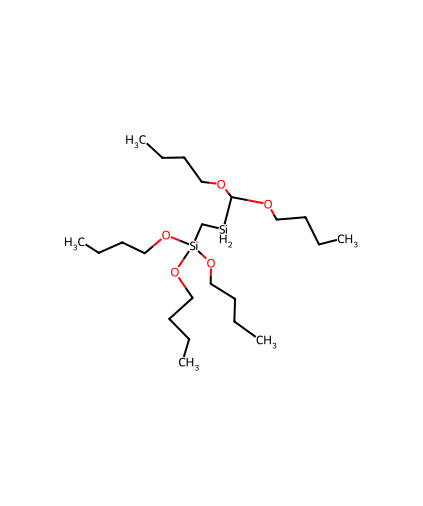 CCCCOC(OCCCC)[SiH2]C[Si](OCCCC)(OCCCC)OCCCC